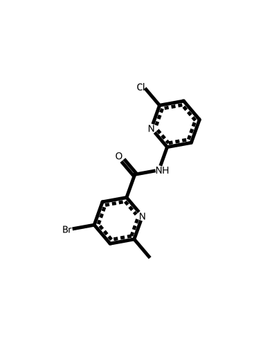 Cc1cc(Br)cc(C(=O)Nc2cccc(Cl)n2)n1